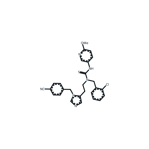 COc1ccc(NC(=S)N(CCc2cncn2Cc2ccc(C#N)cc2)Cc2ccccc2Cl)cn1